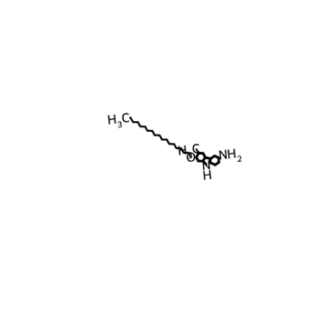 CCCCCCCCCCCCCCCCCCOc1cc2[nH]c3ccc(N)cc3c2cc1C